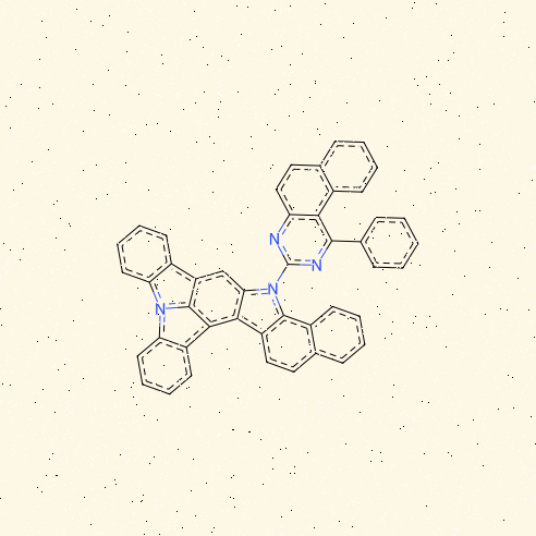 c1ccc(-c2nc(-n3c4cc5c6ccccc6n6c7ccccc7c(c4c4ccc7ccccc7c43)c56)nc3ccc4ccccc4c23)cc1